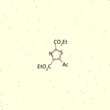 CCOC(=O)c1nc(C(=O)OCC)c(C(C)=O)s1